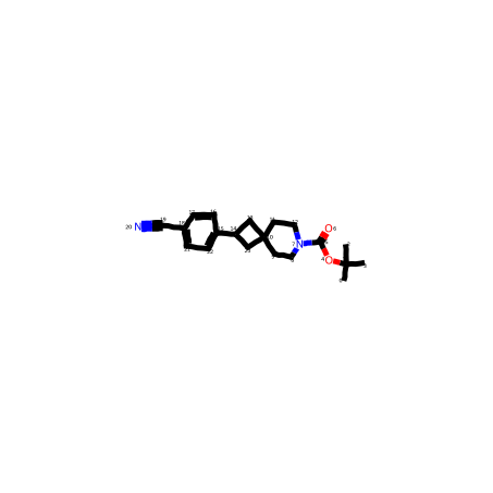 CC(C)(C)OC(=O)N1CCC2(CC1)CC(c1ccc(C#N)cc1)C2